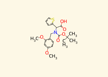 COc1ccc(CN(C(=O)OC(C)(C)C)C(C(=O)O)c2cccs2)c(OC)c1